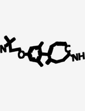 C=C1CC[C@@H](N)C/C=C\C=C/1c1c(C)cc(OCCC(C)(C)N=O)cc1C